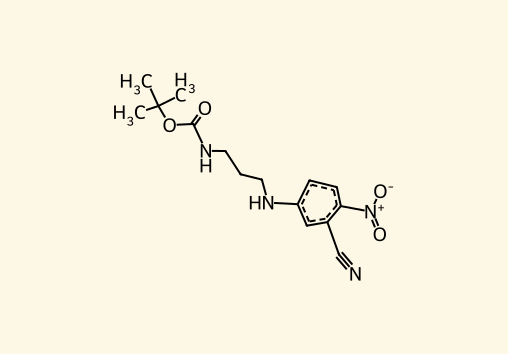 CC(C)(C)OC(=O)NCCCNc1ccc([N+](=O)[O-])c(C#N)c1